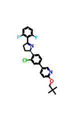 CC(C)(C)COc1ccc(-c2ccc([C@H]3CCC(c4c(F)cccc4F)=N3)c(Cl)c2)cn1